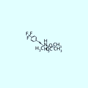 CC(C#Cc1ccc(C(F)(F)F)cc1)NC(=O)OC(C)(C)C